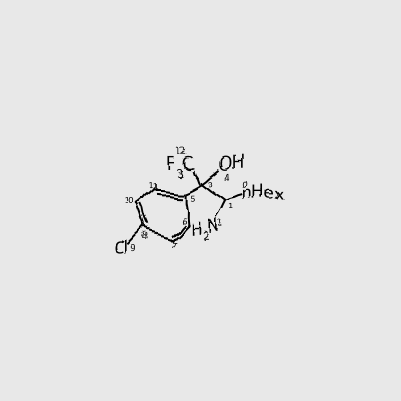 CCCCCCC(N)C(O)(c1ccc(Cl)cc1)C(F)(F)F